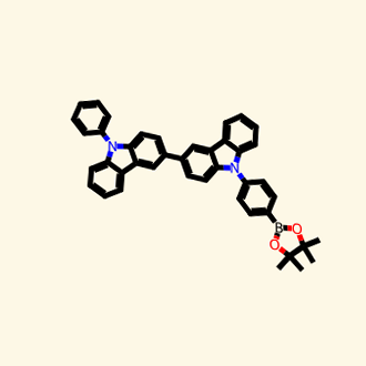 CC1(C)OB(c2ccc(-n3c4ccccc4c4cc(-c5ccc6c(c5)c5ccccc5n6-c5ccccc5)ccc43)cc2)OC1(C)C